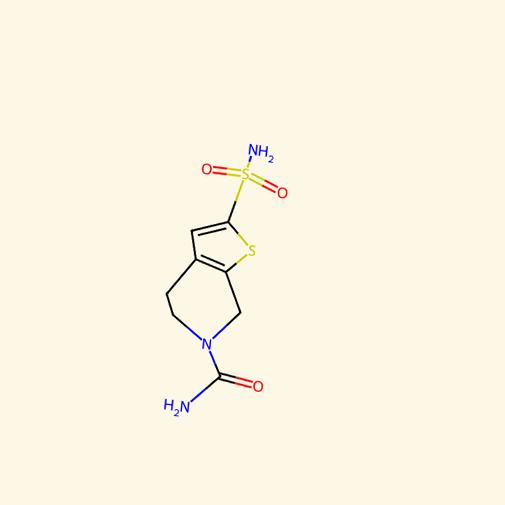 NC(=O)N1CCc2cc(S(N)(=O)=O)sc2C1